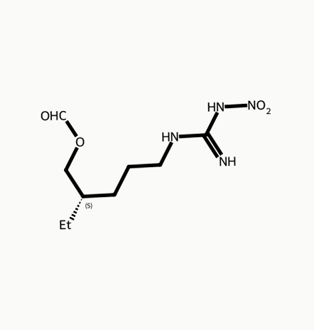 CC[C@@H](CCCNC(=N)N[N+](=O)[O-])COC=O